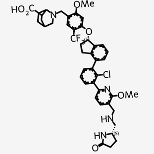 COc1cc(O[C@H]2CCc3c(-c4cccc(-c5ccc(CNC[C@@H]6CCC(=O)N6)c(OC)n5)c4Cl)cccc32)c(C(F)(F)F)cc1CN1CC2CCC1C(C(=O)O)C2